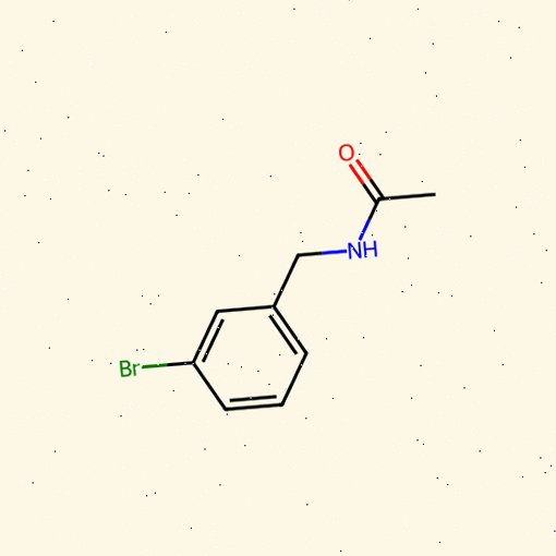 CC(=O)NCc1cccc(Br)c1